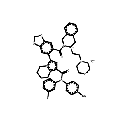 Cl.O=C(c1cc(-c2cc3c(cc2C(=O)N2Cc4ccccc4C[C@H]2CCN2CCOCC2)OCO3)n2c1CCCC2)N(c1ccc(O)cc1)c1cccc(F)c1